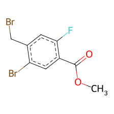 COC(=O)c1cc(Br)c(CBr)cc1F